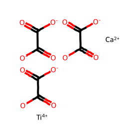 O=C([O-])C(=O)[O-].O=C([O-])C(=O)[O-].O=C([O-])C(=O)[O-].[Ca+2].[Ti+4]